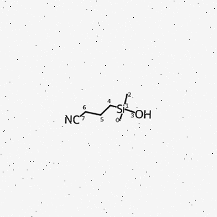 C[Si](C)(O)CCCC#N